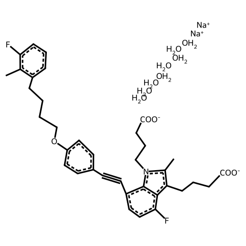 Cc1c(F)cccc1CCCCOc1ccc(C#Cc2ccc(F)c3c(CCCC(=O)[O-])c(C)n(CCCC(=O)[O-])c23)cc1.O.O.O.O.O.O.O.O.[Na+].[Na+]